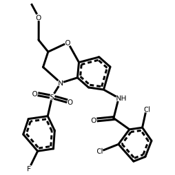 COCC1CN(S(=O)(=O)c2ccc(F)cc2)c2cc(NC(=O)c3c(Cl)cccc3Cl)ccc2O1